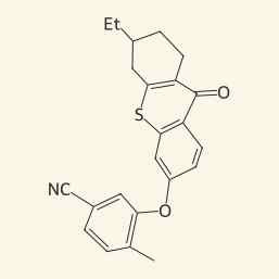 CCC1CCc2c(sc3cc(Oc4cc(C#N)ccc4C)ccc3c2=O)C1